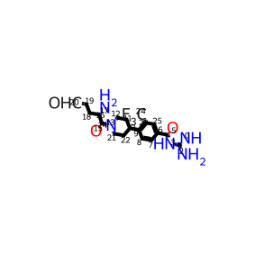 N=C(N)NC(=O)c1ccc(C2CCN(C(=O)[C@@H](N)CCC=O)CC2)c(C(F)(F)F)c1